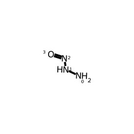 NNN=O